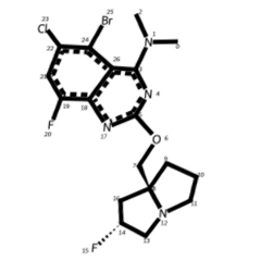 CN(C)c1nc(OC[C@@]23CCCN2C[C@H](F)C3)nc2c(F)cc(Cl)c(Br)c12